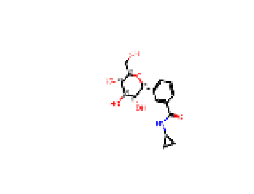 O=C(NC1CC1)c1cccc([C@H]2O[C@H](CO)[C@@H](O)[C@H](O)[C@H]2O)c1